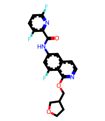 O=C(Nc1cc(F)c2c(OCC3CCOC3)nccc2c1)c1nc(F)ccc1F